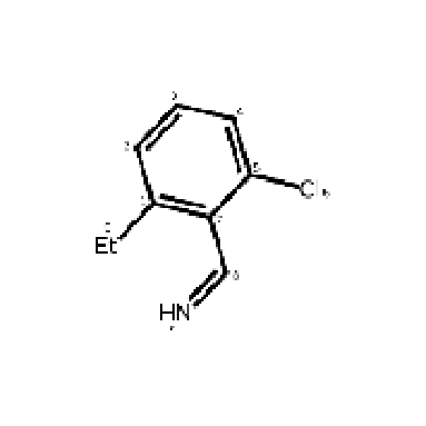 CCc1cccc(Cl)c1C=N